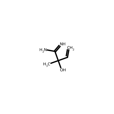 C=CC(C)(O)C(=N)N